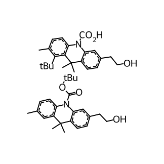 Cc1ccc2c(c1)C(C)(C)c1ccc(CCO)cc1N2C(=O)OC(C)(C)C.Cc1ccc2c(c1C(C)(C)C)C(C)(C)c1ccc(CCO)cc1N2C(=O)O